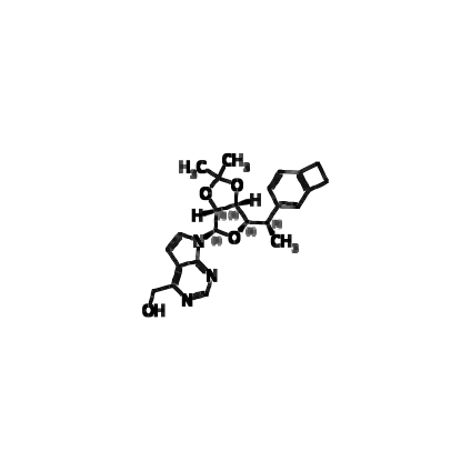 C[C@H](c1ccc2c(c1)CC2)[C@H]1O[C@@H](n2ccc3c(CO)ncnc32)[C@@H]2OC(C)(C)O[C@@H]21